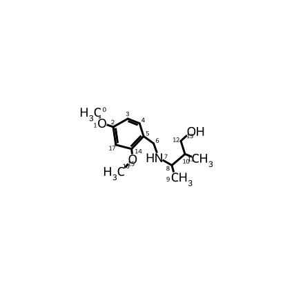 COc1ccc(CNC(C)C(C)CO)c(OC)c1